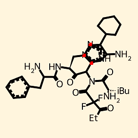 CCC(=O)C(F)(F)C(=O)N(C(=O)[C@@H](N)[C@@H](C)CC)C(C(=O)[C@H](Cc1c[nH]cn1)NC(=O)C(N)Cc1ccccc1)c1cc(N)c(C2CCCCC2)cn1